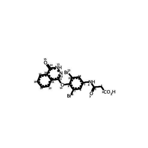 O=C(O)CC(=O)Nc1cc(Br)c(Oc2n[nH]c(=O)c3ccccc23)c(Br)c1